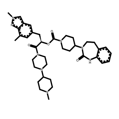 Cc1cc(C[C@@H](OC(=O)N2CCC(N3CCc4ccccc4NC3=O)CC2)C(=O)N2CCN(C3CCN(C)CC3)CC2)cc2cn(C)nc12